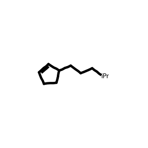 CC(C)CCC[C]1C=CCC1